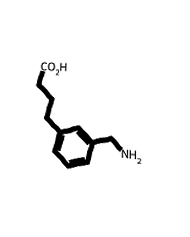 NCc1cccc(CCCC(=O)O)c1